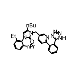 CCCCc1cn(-c2c(CC)cccc2CCC)c(=O)n1Cc1ccc(-c2ccccc2-c2nnn[nH]2)nc1